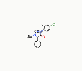 Cc1cc(Cl)ccc1NC(=O)C(c1ccccc1)N(C(=O)O)C(C)(C)C